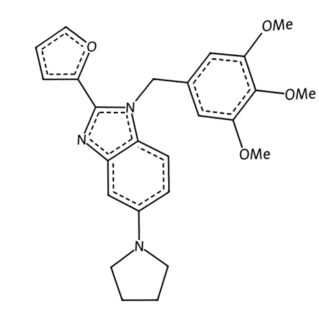 COc1cc(Cn2c(-c3ccco3)nc3cc(N4CCCC4)ccc32)cc(OC)c1OC